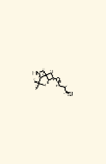 CC(C)(C)C1NCC12CC(OCCC=O)C2